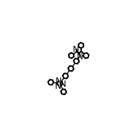 c1ccc(-c2nc(-c3ccccc3)nc(-c3ccc(-c4ccc(-c5ccc(-n6c7ccccc7c7c8ccccc8nc(-c8ccccc8)c76)cc5)cc4)cc3)n2)cc1